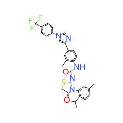 Cc1ccc(C(C)C)c(N2C(=O)CS/C2=N\C(=O)Nc2ccc(-c3cn(-c4ccc(C(F)(F)F)cc4)cn3)cc2C)c1